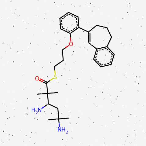 CC(C)(N)CC(N)C(C)(C)C(=O)SCCCOc1ccccc1C1=Cc2ccccc2CCC1